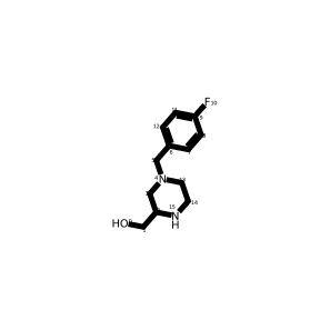 OCC1CN(Cc2ccc(F)cc2)CCN1